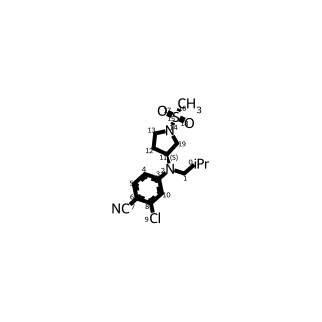 CC(C)CN(c1ccc(C#N)c(Cl)c1)[C@H]1CCN(S(C)(=O)=O)C1